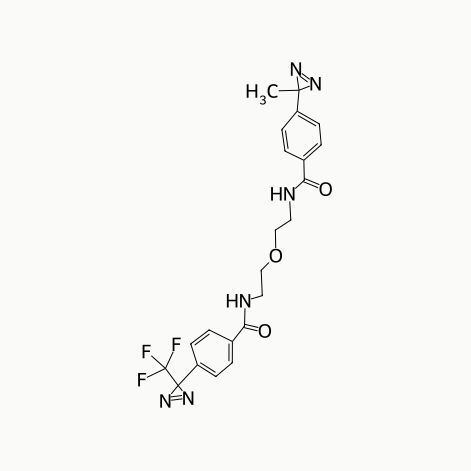 CC1(c2ccc(C(=O)NCCOCCNC(=O)c3ccc(C4(C(F)(F)F)N=N4)cc3)cc2)N=N1